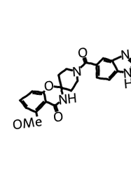 COc1cccc2c1C(=O)NC1(CCN(C(=O)c3ccc4[nH]cnc4c3)CC1)O2